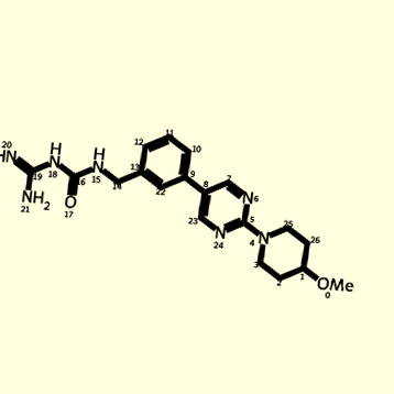 COC1CCN(c2ncc(-c3cccc(CNC(=O)NC(=N)N)c3)cn2)CC1